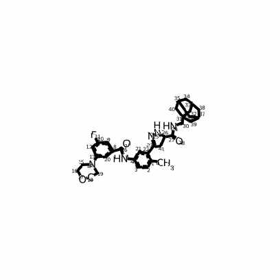 Cc1ccc(NC(=O)c2cc(F)cc(N3CCOCC3)c2)cc1C1=NNC(C(=O)NCC23CC4CC(CC(C4)C2)C3)C1